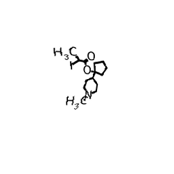 CC(I)C(=O)OC1(C2CCN(C)CC2)CCCC1